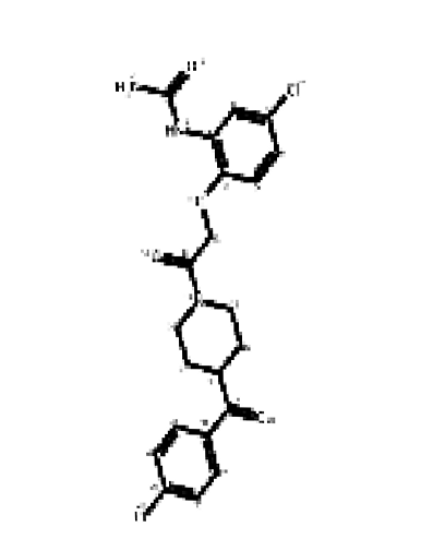 NC(=O)Nc1cc(Cl)ccc1OCC(=O)N1CCC(C(=O)c2ccc(Cl)cc2)CC1